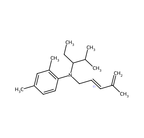 C=C(C)/C=C/CN(c1ccc(C)cc1C)C(CC)C(C)C